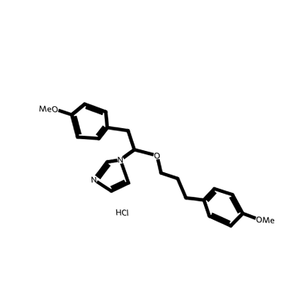 COc1ccc(CCCOC(Cc2ccc(OC)cc2)n2ccnc2)cc1.Cl